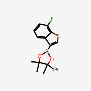 CC(C)C1(C)OB(c2csc3c(F)cccc23)OC1(C)C